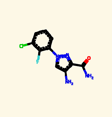 NC(=O)c1nn(-c2cccc(Cl)c2F)cc1N